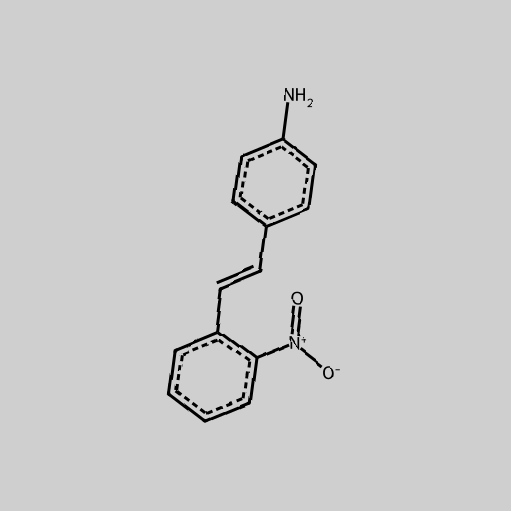 Nc1ccc(C=Cc2ccccc2[N+](=O)[O-])cc1